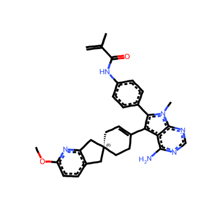 C=C(C)C(=O)Nc1ccc(-c2c(C3=CC[C@]4(CC3)Cc3ccc(OC)nc3C4)c3c(N)ncnc3n2C)cc1